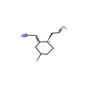 C=CC[C@H]1CCC(I)C/C1=C\C#N